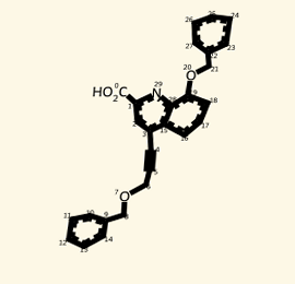 O=C(O)c1cc(C#CCOCc2ccccc2)c2cccc(OCc3ccccc3)c2n1